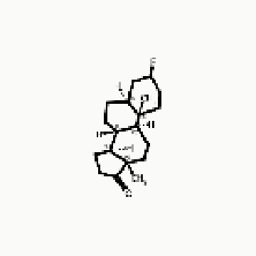 C[C@]12CCC(F)C[C@@H]1CC[C@@H]1[C@@H]2CC[C@]2(C)C(=O)CC[C@@H]12